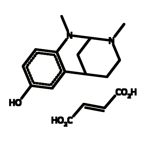 CN1CCC2CC1N(C)c1ccc(O)cc12.O=C(O)C=CC(=O)O